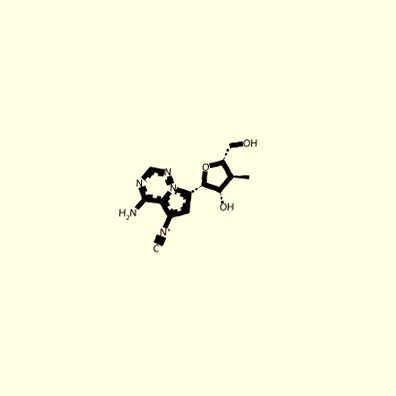 [C-]#[N+]c1cc([C@@H]2O[C@H](CO)[C@@H](C)[C@@H]2O)n2ncnc(N)c12